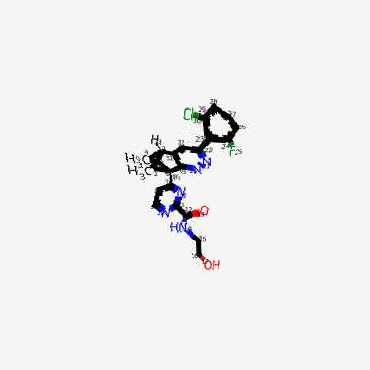 CC1(C)[C@H]2CC[C@@]1(c1ccnc(C(=O)NCCO)n1)c1nnc(-c3c(F)cccc3Cl)cc12